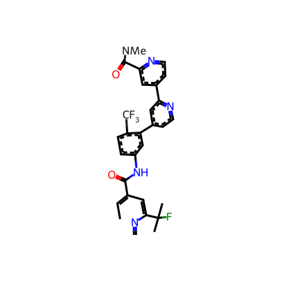 C=N/C(=C\C(=C/C)C(=O)Nc1ccc(C(F)(F)F)c(-c2ccnc(-c3ccnc(C(=O)NC)c3)c2)c1)C(C)(C)F